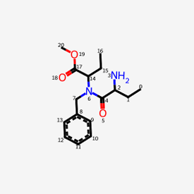 CCC(N)C(=O)N(Cc1ccccc1)C(CC)C(=O)OC